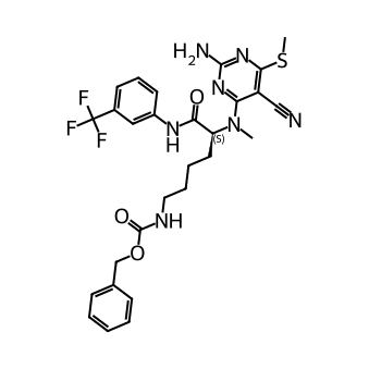 CSc1nc(N)nc(N(C)[C@@H](CCCCNC(=O)OCc2ccccc2)C(=O)Nc2cccc(C(F)(F)F)c2)c1C#N